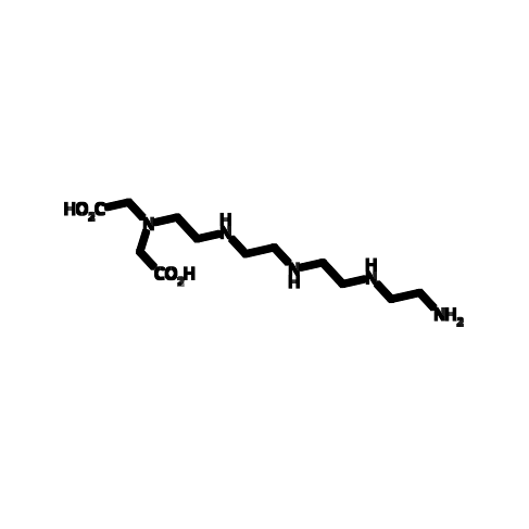 NCCNCCNCCNCCN(CC(=O)O)CC(=O)O